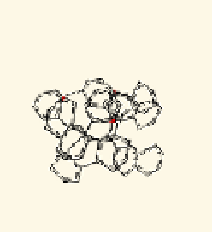 c1ccc(C2(c3ccccc3)c3ccccc3-c3cccc(-n4c5ccccc5c5ccc(-c6ccccc6-c6cccc(N(c7ccc8ccccc8c7)c7cccc8ccccc78)c6)cc54)c32)cc1